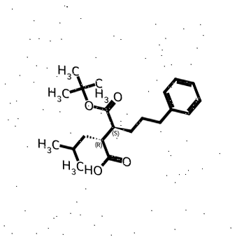 CC(C)C[C@@H](C(=O)O)[C@H](CCCc1ccccc1)C(=O)OC(C)(C)C